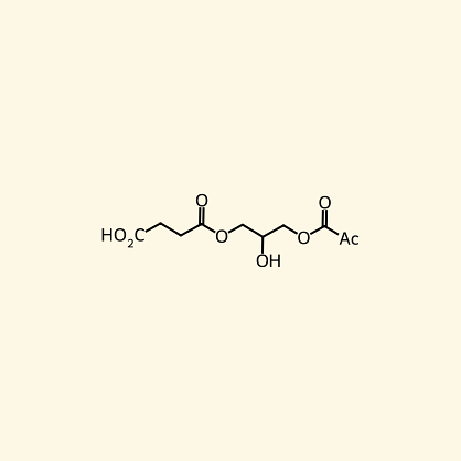 CC(=O)C(=O)OCC(O)COC(=O)CCC(=O)O